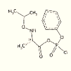 CC(C)ON[C@@H](C)C(=O)OP(=O)(Cl)Oc1ccccc1